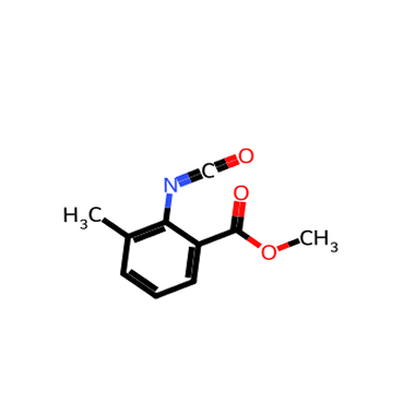 COC(=O)c1cccc(C)c1N=C=O